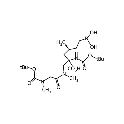 C[C@@H](CCB(O)O)CC(CN(C)C(=O)CN(C)C(=O)OC(C)(C)C)(NC(=O)OC(C)(C)C)C(=O)O